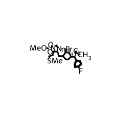 CCCN1C=NC(CCSC)(OC(=O)OC)C1CC1CCC(C(c2ccc(F)cc2)N(C)C)CC1